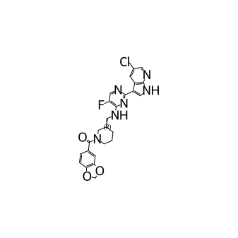 O=C(c1ccc2c(c1)OCO2)N1CCC[C@H](CNc2nc(-c3c[nH]c4ncc(Cl)cc34)ncc2F)C1